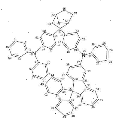 c1ccc(N(c2ccccc2)c2ccc(C3(c4ccc(N(c5ccccc5)c5ccc6c(c5)-c5ccccc5C6(c5ccccc5)c5ccccc5)cc4)CC4CCC3C4)cc2)cc1